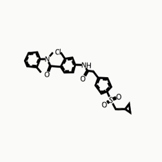 Cc1ccccc1N(C)C(=O)c1ccc(NC(=O)Cc2ccc(S(=O)(=O)CC3CC3)cc2)cc1Cl